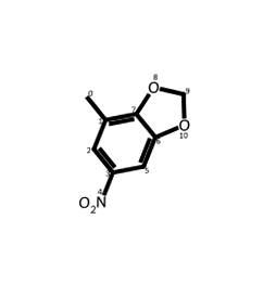 Cc1cc([N+](=O)[O-])cc2c1OCO2